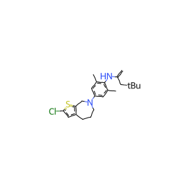 C=C(CC(C)(C)C)Nc1c(C)cc(N2CCCc3cc(Cl)sc3C2)cc1C